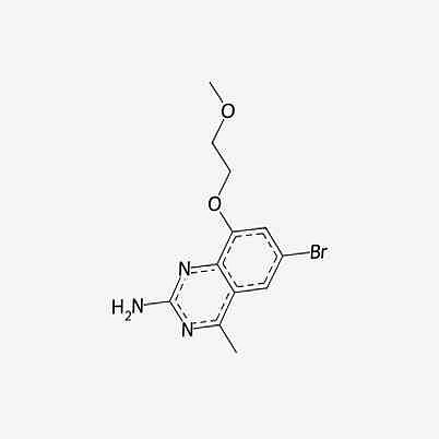 COCCOc1cc(Br)cc2c(C)nc(N)nc12